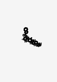 CC1=C2C[C@H]3[C@@H](CC[C@@H]4C[C@H](NS(C)(=O)=O)CC[C@@]43C)[C@@H]2CC[C@@]2(C1)O[C@@H]1C[C@H](C)CN(OC(=O)c3ccc4c(c3)CC=CC=C4)[C@H]1[C@H]2C